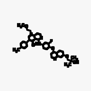 COCCn1cc(-c2ccc(C)cc2)c(=O)c2c(Nc3ccc(Oc4ccnc5cc(OCC(C)(C)O)ccc45)c(F)c3)nccc21